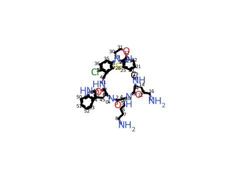 CN1C(=O)[C@H](CCCCN)NC(=O)[C@H](CCCN)NCc2ccncc2Sc2c(N3CCOCC3)ccc(Cl)c2CNC(=O)[C@@H]1Cc1c[nH]c2ccccc12